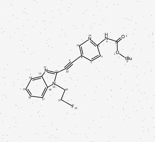 CC(C)(C)OC(=O)Nc1ccc(C#Cc2nc3ccccc3n2CCF)cn1